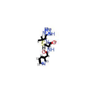 CC1(C)S[C@@H]2C(NC(=O)Cc3cccnc3)C(=O)N2C1c1nnn[nH]1